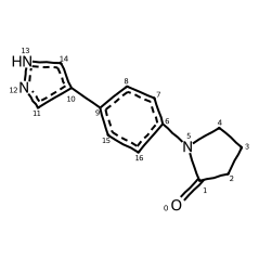 O=C1CCCN1c1ccc(-c2cn[nH]c2)cc1